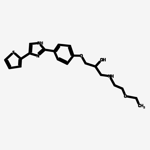 CCOCCNCC(O)COc1ccc(-c2nc(-c3cccs3)c[nH]2)cc1